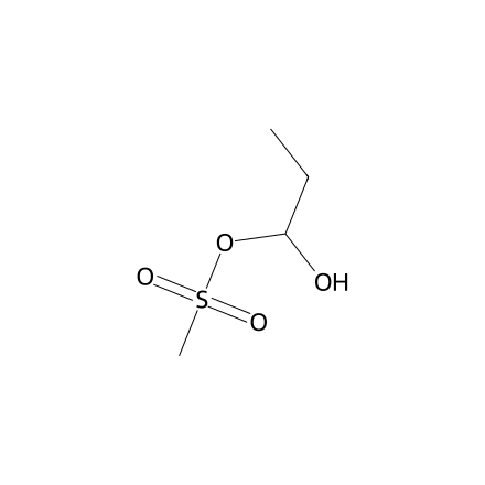 CCC(O)OS(C)(=O)=O